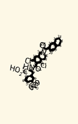 CS(=O)(=O)c1cccc(C[C@H](NC(=O)c2c(Cl)cc3c(c2Cl)CCN(C(=O)c2ccc4c(c2)CCC=C4)C3)C(=O)O)c1